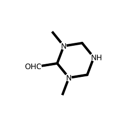 CN1CNCN(C)C1C=O